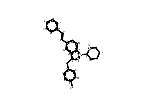 Fc1ccc(Cc2nn(C3CCCCO3)c3ccc(C=Cc4ccccc4)cc23)cc1